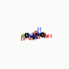 Cc1c(C(=O)Nc2ccc(F)c(Br)c2)c(C)n(C)c1C(=O)C(=O)NC1CCC(O)CC1